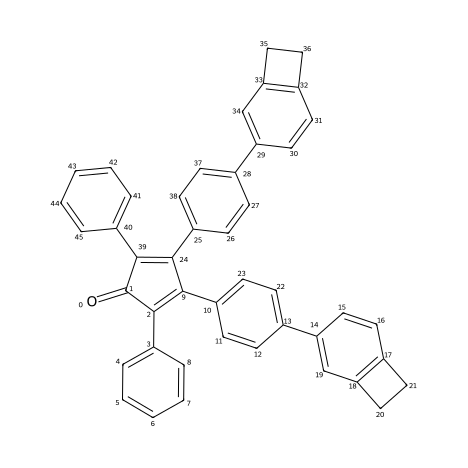 O=C1C(c2ccccc2)=C(c2ccc(-c3ccc4c(c3)CC4)cc2)C(c2ccc(-c3ccc4c(c3)CC4)cc2)=C1c1ccccc1